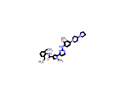 CCc1cccc(CC)c1NC(=O)c1cc(-c2ccnc(Nc3ccc(N4CCC(N5CCCC5)CC4)cc3OC)n2)n(C)c1